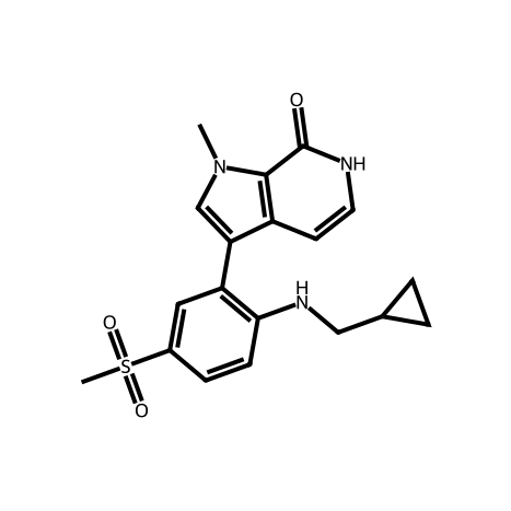 Cn1cc(-c2cc(S(C)(=O)=O)ccc2NCC2CC2)c2cc[nH]c(=O)c21